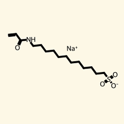 C=CC(=O)NCCCCCCCCCCCCS(=O)(=O)[O-].[Na+]